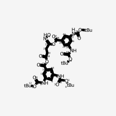 CC(C)(C)OC(=O)Nc1cc(NC(=O)OC(C)(C)C)cc(C(=O)OC(=O)CC/C(=N/O)OC(=O)c2cc(NC(=O)OC(C)(C)C)cc(NC(=O)OC(C)(C)C)c2)c1